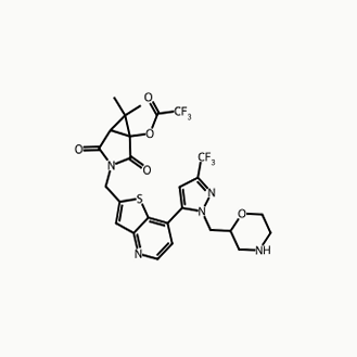 CC1(C)C2C(=O)N(Cc3cc4nccc(-c5cc(C(F)(F)F)nn5CC5CNCCO5)c4s3)C(=O)C21OC(=O)C(F)(F)F